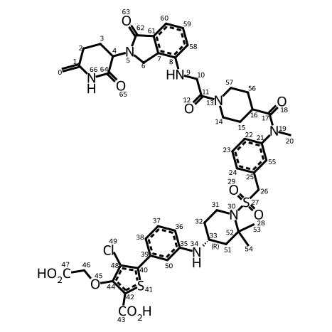 C=C1CCC(N2Cc3c(NCC(=O)N4CCC(C(=O)N(C)c5cccc(CS(=O)(=O)N6CC[C@@H](Nc7cccc(-c8sc(C(=O)O)c(OCC(=O)O)c8Cl)c7)CC6(C)C)c5)CC4)cccc3C2=O)C(=O)N1